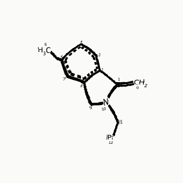 C=C1c2ccc(C)cc2CN1CC(C)C